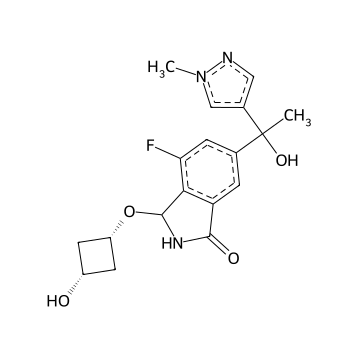 Cn1cc(C(C)(O)c2cc(F)c3c(c2)C(=O)NC3O[C@H]2C[C@@H](O)C2)cn1